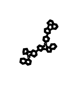 c1ccc2c(-n3c4ccccc4c4cc(-c5ccc6c(c5)c5ccc7ccccc7c5n6-c5ccc(-c6ccc7c(c6)-c6cccc8cccc-7c68)cc5)ccc43)cccc2c1